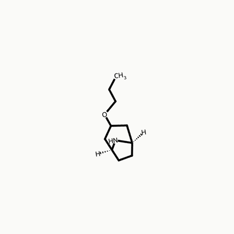 CCCOC1C[C@H]2CC[C@@H](C1)N2